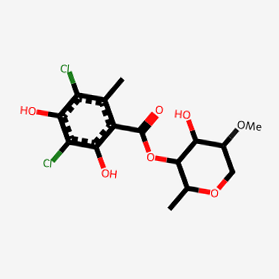 COC1COC(C)C(OC(=O)c2c(C)c(Cl)c(O)c(Cl)c2O)C1O